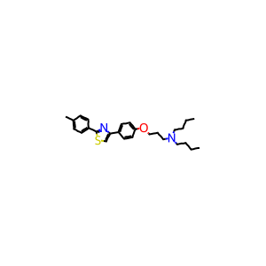 CCCCN(CCCC)CCCOc1ccc(-c2csc(-c3ccc(C)cc3)n2)cc1